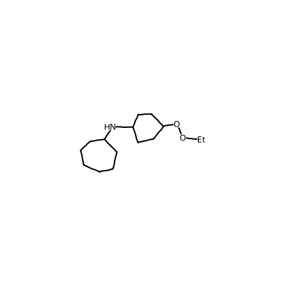 CCOOC1CCC(NC2CCCCCC2)CC1